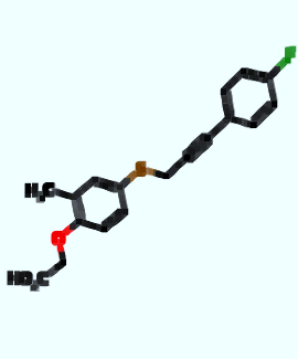 Cc1cc(SCC#Cc2ccc(F)cc2)ccc1OCC(=O)O